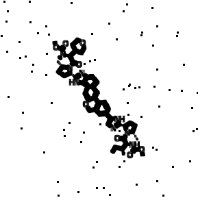 CC[C@H](C)[C@H](NC(=O)OC)C(=O)N1[C@@H](C)CC[C@H]1c1ncc(-c2ccc3c(c2)COc2cc4c(ccc5nc([C@@H]6CC[C@H](C)N6C(=O)[C@H](C6CCOCC6)N(C)C(=O)OC)[nH]c54)cc2-3)[nH]1